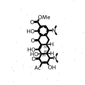 COC(=O)c1cc(N(C)C)c2c(c1O)C(=O)C1=C(O)[C@@]3(O)C(=O)C(C(C)=O)=C(O)C(N(C)C)[C@H]3C[C@H]1C2